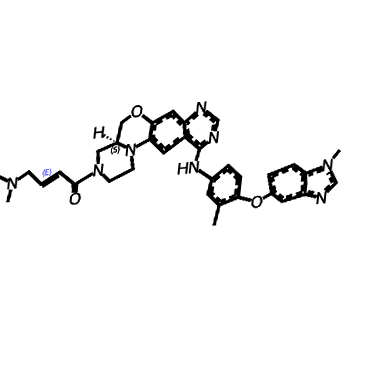 Cc1cc(Nc2ncnc3cc4c(cc23)N2CCN(C(=O)/C=C/CN(C)C)C[C@H]2CO4)ccc1Oc1ccc2c(c1)ncn2C